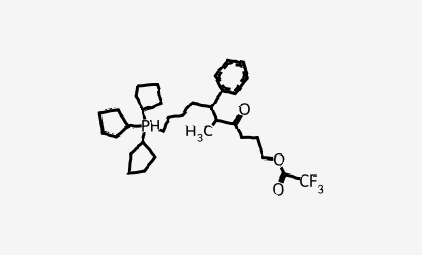 CC(C(=O)CCCOC(=O)C(F)(F)F)C(CCCC[PH](C1CCCC1)(C1CCCC1)C1CCCC1)c1ccccc1